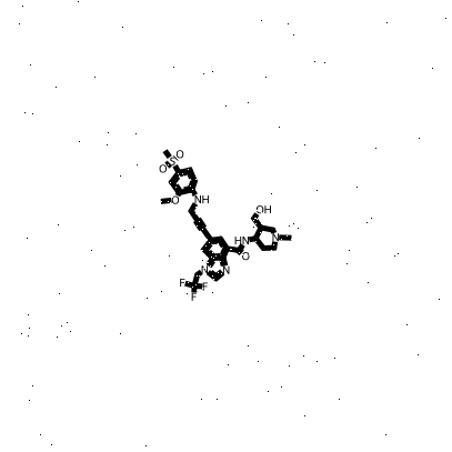 COc1cc(S(C)(=O)=O)ccc1NCC#Cc1cc(C(=O)NC2CCN(C)CC2CO)c2ncn(CC(F)(F)F)c2c1